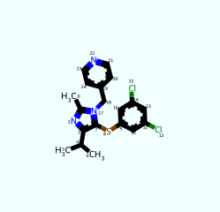 Cc1nc(C(C)C)c(Sc2cc(Cl)cc(Cl)c2)n1Cc1ccncc1